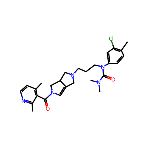 Cc1ccc(N(CCCN2CC3=CN(C(=O)c4c(C)ccnc4C)CC3C2)C(=O)N(C)C)cc1Cl